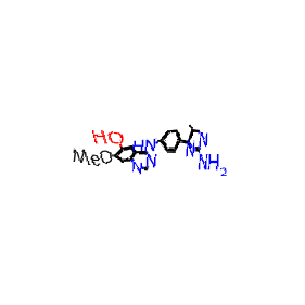 COc1cc2ncnc(Nc3ccc(-c4nc(N)ncc4C)cc3)c2cc1O